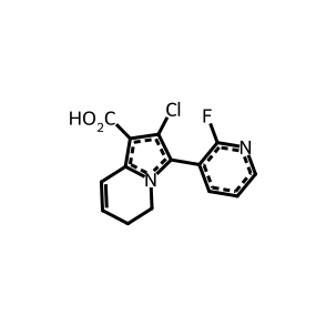 O=C(O)c1c(Cl)c(-c2cccnc2F)n2c1C=CCC2